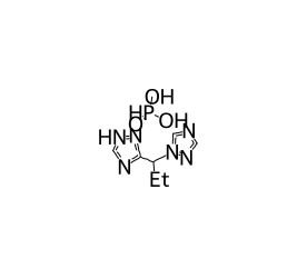 CCC(c1nc[nH]n1)n1cncn1.O=[PH](O)O